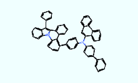 c1ccc(-c2ccc(N(c3ccc(-c4cccc5c4c4ccccc4c4c(-c6ccccc6)c6ccccc6n54)cc3)c3cc4ccccc4c4ccccc34)cc2)cc1